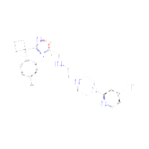 FC(F)(F)c1ccnc(N2CCN(CCNCc3nc(C4(c5ccc(Cl)cc5)CCC4)no3)CC2)c1